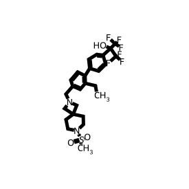 CCc1cc(CN2CC3(CCN(S(C)(=O)=O)CC3)C2)ccc1-c1ccc(C(O)(C(F)(F)F)C(F)(F)F)cc1